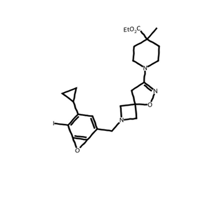 CCOC(=O)C1(C)CCN(C2=NOC3(C2)CN(Cc2cc(C4CC4)c(I)c4c2O4)C3)CC1